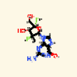 C[C@]1(F)C(n2cnc3c(=O)[nH]c(N)nc32)O[C@](F)(CO)[C@H]1O